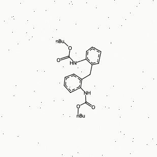 CCCCOC(=O)Nc1ccccc1Cc1ccccc1NC(=O)OCCCC